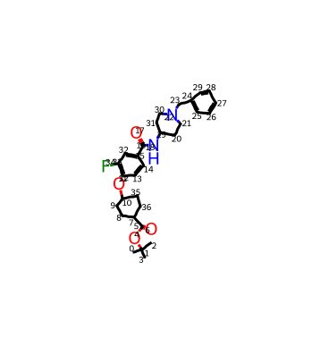 CC(C)(C)OC(=O)C1CCC(Oc2ccc(C(=O)NC3CCN(Cc4ccccc4)CC3)cc2F)CC1